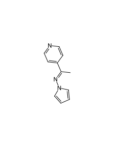 C/C(=N\n1cccc1)c1ccncc1